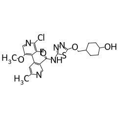 COc1cnc(Cl)c(F)c1-c1cc(C)ncc1C(=O)Nc1nnc(OCC2CCC(O)CC2)s1